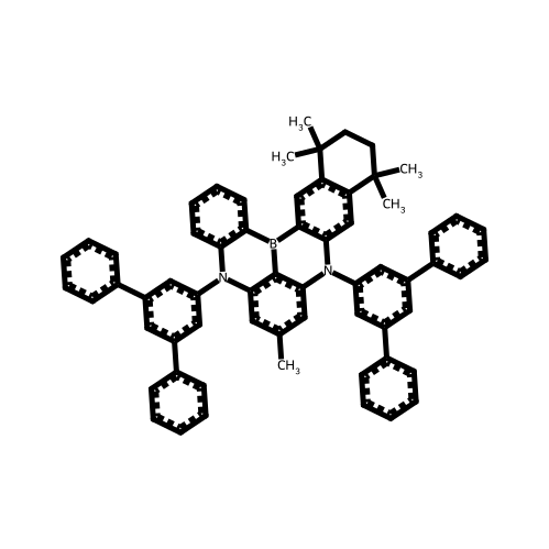 Cc1cc2c3c(c1)N(c1cc(-c4ccccc4)cc(-c4ccccc4)c1)c1cc4c(cc1B3c1ccccc1N2c1cc(-c2ccccc2)cc(-c2ccccc2)c1)C(C)(C)CCC4(C)C